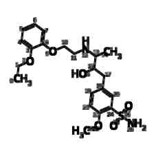 CCOc1ccccc1OCCNC(C)C(O)Cc1ccc(OC)c(S(N)(=O)=O)c1